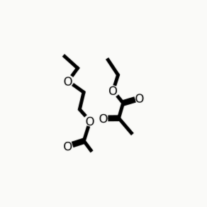 CCOC(=O)C(C)=O.CCOCCOC(C)=O